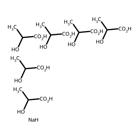 CC(O)C(=O)O.CC(O)C(=O)O.CC(O)C(=O)O.CC(O)C(=O)O.CC(O)C(=O)O.CC(O)C(=O)O.[NaH]